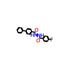 O=C(NNC(=O)c1ccc(-c2ccccc2)cc1)c1ccc(F)cc1